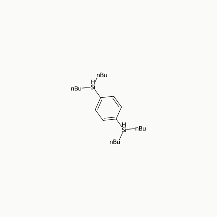 CCCC[SiH](CCCC)c1ccc([SiH](CCCC)CCCC)cc1